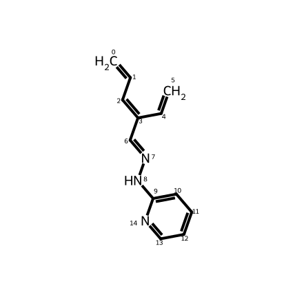 C=C/C=C(C=C)/C=N/Nc1ccccn1